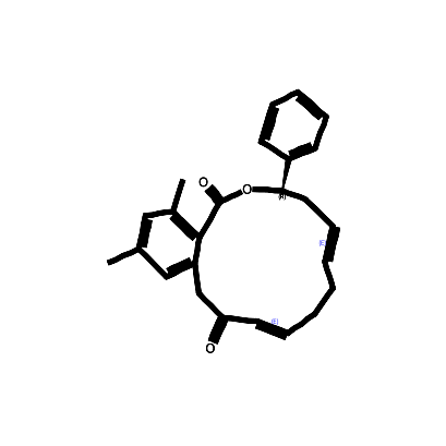 Cc1cc(C)c2c(c1)CC(=O)/C=C/CC/C=C/C[C@H](c1ccccc1)OC2=O